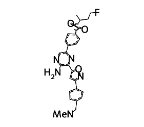 CNCc1ccc(-c2cc(-c3nc(-c4ccc(S(=O)(=O)C(C)CCF)cc4)cnc3N)on2)cc1